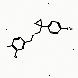 CC(C)(C)c1ccc(C2(COCc3ccc(F)c(Br)c3)CC2)cc1